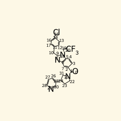 O=C(c1ccc2c(c1)nc(Cc1ccc(Cl)cc1)n2CC(F)(F)F)N1CCC(c2cccnc2)C1